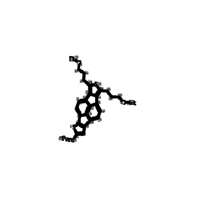 CCCCCc1cc2c(s1)-c1ccc3c4c(ccc-2c14)-c1c(CCCOCC)sc(CCCOCC)c1-3